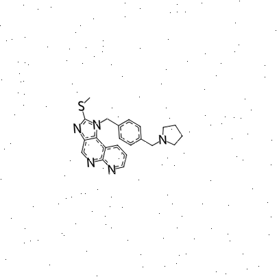 CSc1nc2cnc3ncccc3c2n1Cc1ccc(CN2CCCC2)cc1